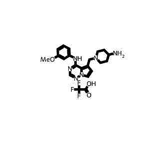 COc1cccc(Nc2ncnn3ccc(CN4CCC(N)CC4)c23)c1.O=C(O)C(F)(F)F